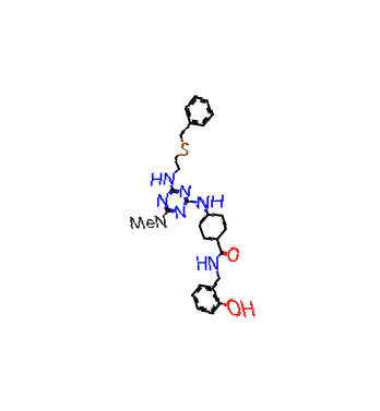 CNc1nc(NCCSCc2ccccc2)nc(NC2CCC(C(=O)NCc3ccccc3O)CC2)n1